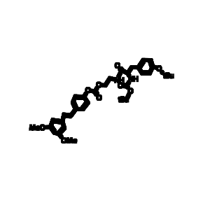 COc1cc(/C=C/c2ccc(OC(=O)OCCNC(=O)C(Cc3ccc(OC(C)(C)C)cc3)NC(=O)OC(C)(C)C)cc2)cc(OC)c1